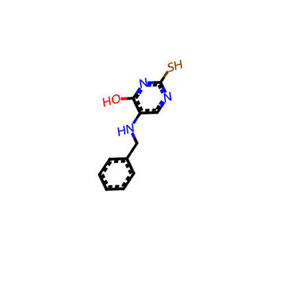 Oc1nc(S)ncc1NCc1ccccc1